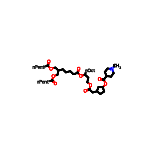 CCCCCCCCC(CCOC(=O)CC1CCC(OC(=O)C2CCN(C)CC2)C1)OC(=O)CCCCC(COC(=O)CCCCC)COC(=O)CCCCC